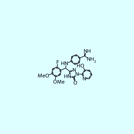 COc1cc(F)c(C(Nc2ccc(C(=N)N)cc2)c2nn(-c3ncccc3O)c(=O)[nH]2)cc1OC